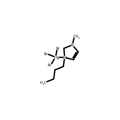 CCCC[N+]1([Hg]([Br])([Br])[Br])C=CN(C)C1